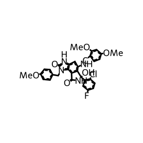 COc1ccc(Cn2c(=O)[nH]c3cc(NCc4ccc(OC)cc4OC)c4c(c32)C(=O)NC4(O)c2cc(F)ccc2Cl)cc1